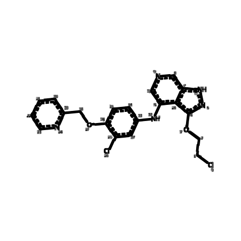 ClCCOc1n[nH]c2cncc(Nc3ccc(OCc4ccccn4)c(Cl)c3)c12